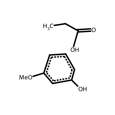 CCC(=O)O.COc1cccc(O)c1